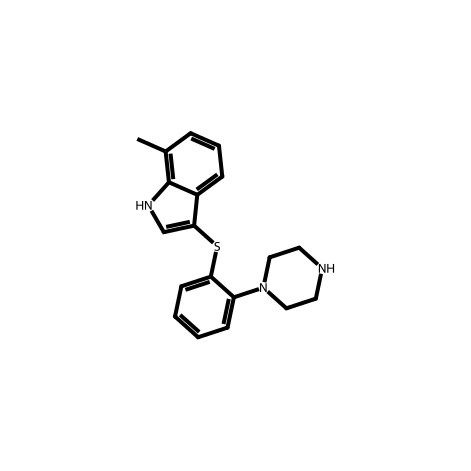 Cc1cccc2c(Sc3ccccc3N3CCNCC3)c[nH]c12